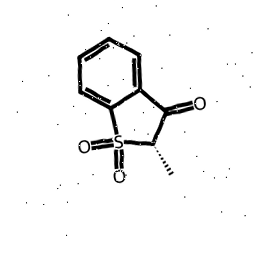 C[C@H]1C(=O)c2ccccc2S1(=O)=O